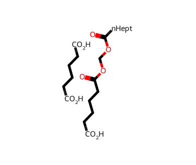 CCCCCCCC(=O)OCOC(=O)CCCCC(=O)O.O=C(O)CCCCC(=O)O